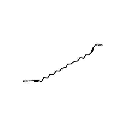 [CH2]CCCCCCCCC#CCCCCCCCCCCCCCCCCCC#CCCCCCCCCC[CH2]